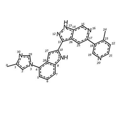 Cc1cn(-c2cccc3[nH]c(-c4n[nH]c5cnc(-c6cnccc6C)cc45)cc23)cn1